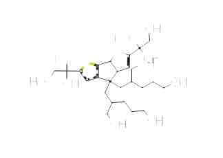 CCCCC(CC)CC1(CC(CC)CCCC)c2cc(C(C)(C)CC)sc2C2SC(C(C)(C)CC)=CC21